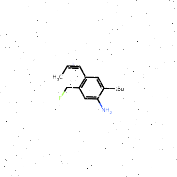 C/C=C\c1cc(C(C)(C)C)c(N)cc1CF